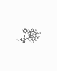 CC(C)[C@H](NC(=O)[C@@H]1CCCN1C(=O)[C@@H](N)CCCNC(=N)N)C(=O)N[C@@H](C)C(=O)N[C@@H](Cc1ccccc1)C(=O)O